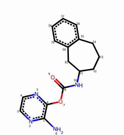 Nc1nccnc1OC(=O)NC1CCCc2ccccc2C1